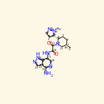 C[C@@H]1CC[C@@H](c2ccnn2C)N(C(=O)C(=O)Nc2cnc(N)c3cn[nH]c23)C1